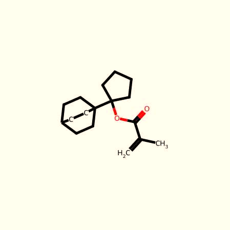 C=C(C)C(=O)OC1(C23CCC(CC2)CC3)CCCC1